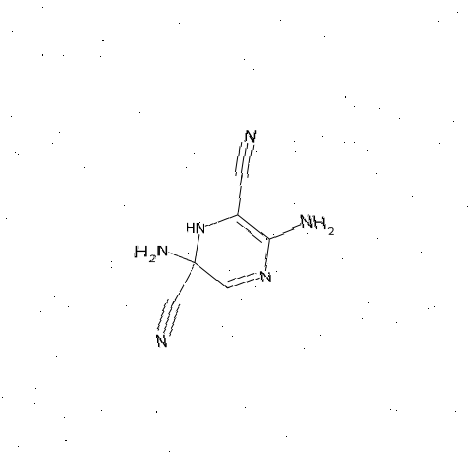 N#CC1=C(N)N=CC(N)(C#N)N1